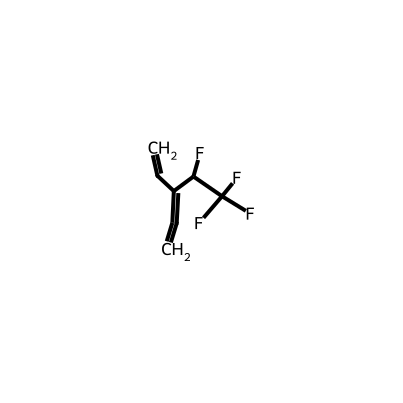 C=C=C(C=C)C(F)C(F)(F)F